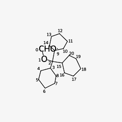 O=[C]OC(C1CCCCC1)(C1CCCCC1)C1CCCCC1